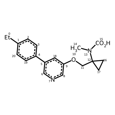 CCc1ccc(-c2cncc(OCC3(N(C)C(=O)O)CC3)c2)cc1